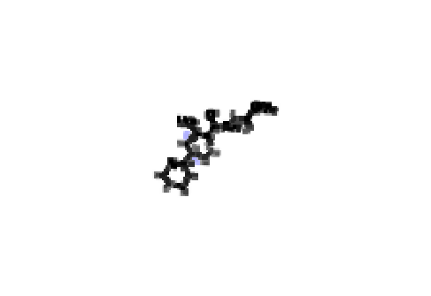 C=C(CNC(=O)C(=C)/C(O)=C\C(=C/C)c1ccccn1)OC